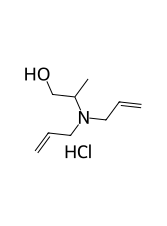 C=CCN(CC=C)C(C)CO.Cl